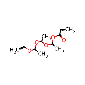 C=COC(C)OC(C)OC(C)OC(=O)C=C